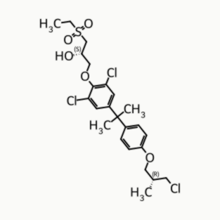 CCS(=O)(=O)C[C@@H](O)COc1c(Cl)cc(C(C)(C)c2ccc(OC[C@@H](C)CCl)cc2)cc1Cl